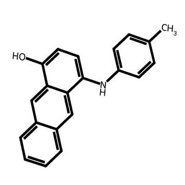 Cc1ccc(Nc2ccc(O)c3cc4ccccc4cc23)cc1